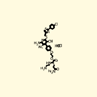 Cl.Cl.N#Cc1c(N)nc(SCc2csc(-c3ccc(Cl)cc3)n2)c(C#N)c1-c1ccc(OCCOC(=O)[C@H](CCC(N)=O)NCCN)cc1